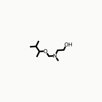 CC(C)C(C)OCN(C)CCO